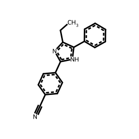 CCc1nc(-c2ccc(C#N)cc2)[nH]c1-c1ccccc1